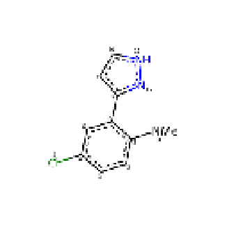 CNc1ccc(Cl)cc1-c1cc[nH]n1